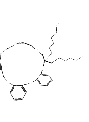 CC(C)CCCCCC1(CCCCCC(C)C)COCCOCCOCCOc2ccccc2Oc2ccccc2O1